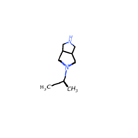 CC(C)N1CC2CNCC2C1